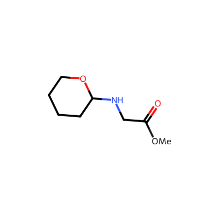 COC(=O)CNC1CCCCO1